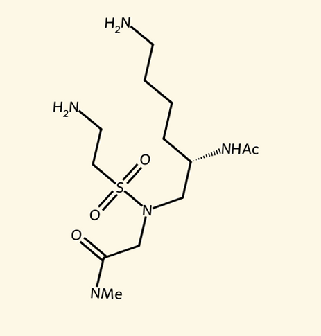 CNC(=O)CN(C[C@H](CCCCN)NC(C)=O)S(=O)(=O)CCN